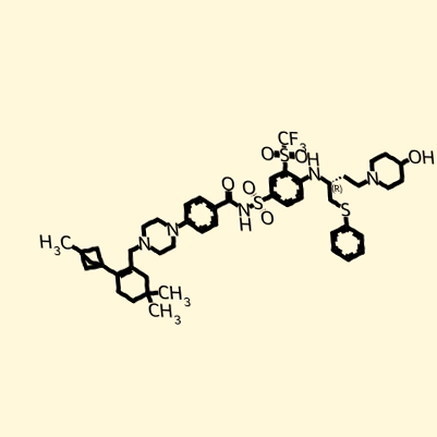 CC1(C)CCC(C23CC(C)(C2)C3)=C(CN2CCN(c3ccc(C(=O)NS(=O)(=O)c4ccc(N[C@H](CCN5CCC(O)CC5)CSc5ccccc5)c(S(=O)(=O)C(F)(F)F)c4)cc3)CC2)C1